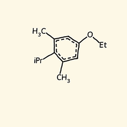 CCOc1cc(C)c(C(C)C)c(C)c1